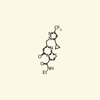 CCNC(=O)c1csc2nc(Cn3nc(C(F)(F)F)cc3C3CC3)cc(=O)n12